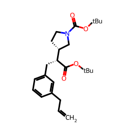 C=CCc1cccc(C[C@@H](C(=O)OC(C)(C)C)[C@@H]2CCN(C(=O)OC(C)(C)C)C2)c1